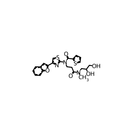 CN(CC(O)CO)C(=O)CCN(C(=O)c1cccs1)c1nc(-c2cc3ccccc3o2)cs1